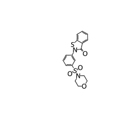 O=c1c2ccccc2sn1-c1cccc(S(=O)(=O)N2CCOCC2)c1